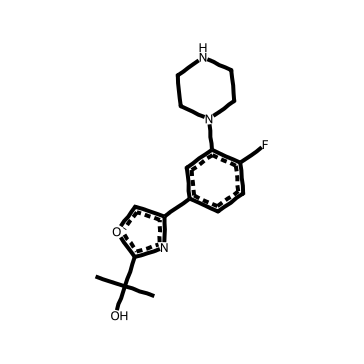 CC(C)(O)c1nc(-c2ccc(F)c(N3CCNCC3)c2)co1